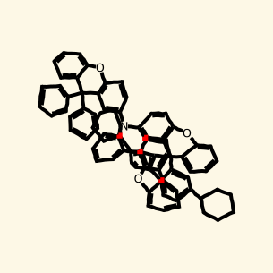 c1ccc(C2(c3ccccc3)c3ccccc3Oc3ccc(N(c4ccc5c(c4)C4(c6ccccc6O5)c5cc(C6CCCCC6)ccc5-c5ccc(C6CCCCC6)cc54)c4ccccc4-c4cccc5c4oc4ccccc45)cc32)cc1